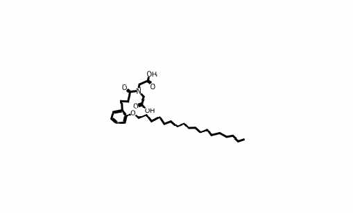 CCCCCCCCCCCCCCCCCCOc1ccccc1CCC(=O)N(CC(=O)O)CC(=O)O